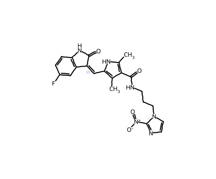 Cc1[nH]c(/C=C2\C(=O)Nc3ccc(F)cc32)c(C)c1C(=O)NCCCn1ccnc1[N+](=O)[O-]